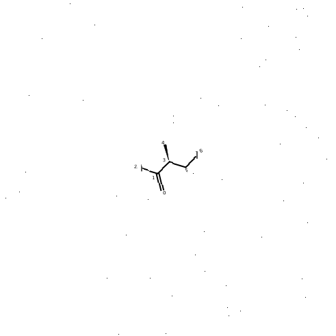 C=C(I)[C@@H](C)CI